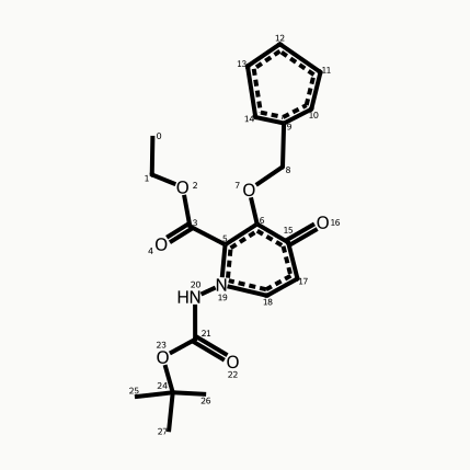 CCOC(=O)c1c(OCc2ccccc2)c(=O)ccn1NC(=O)OC(C)(C)C